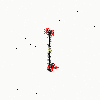 CC1(C)OCC(C)(C(=O)O)C(CCCCCCCCCCCSSCCCCCCCCCCCC2OC(C)(C)OCC2(C)C(=O)O)O1